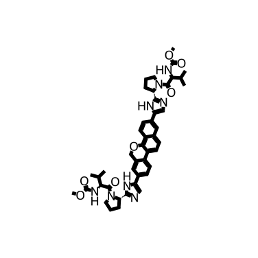 COC(=O)NC(C(=O)N1CCC[C@H]1c1ncc(-c2ccc3c4c(ccc3c2)-c2ccc(-c3cnc([C@@H]5CCCN5C(=O)[C@@H](NC(=O)OC)C(C)C)[nH]3)cc2CO4)[nH]1)C(C)C